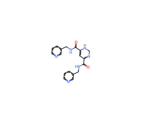 O=C(NCc1cccnc1)C1=CC(C(=O)NCc2cccnc2)=NCN1